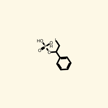 O=P(O)(O)OC(CI)c1ccccc1